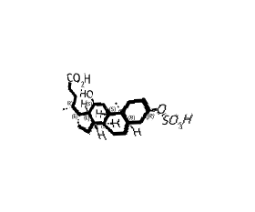 C[C@H](CCC(=O)O)[C@H]1CC[C@H]2[C@@H]3CC[C@@H]4C[C@H](OS(=O)(=O)O)CC[C@]4(C)[C@H]3C[C@H](O)[C@@H]21